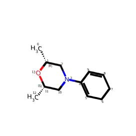 C[C@@H]1CN(C2=CCCC=C2)C[C@H](C)O1